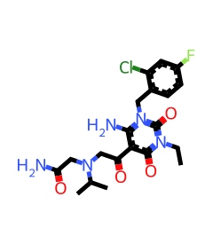 CCn1c(=O)c(C(=O)CN(CC(N)=O)C(C)C)c(N)n(Cc2ccc(F)cc2Cl)c1=O